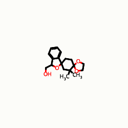 CC1(C)CC2(CCC13OCCO3)OC(CO)c1ccccc12